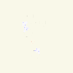 CCOC(=O)c1c(C)nn2ccc(OCc3ccccn3)cc12